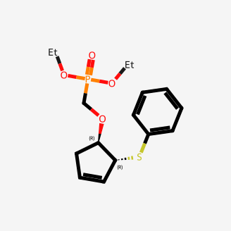 CCOP(=O)(CO[C@@H]1CC=C[C@H]1Sc1ccccc1)OCC